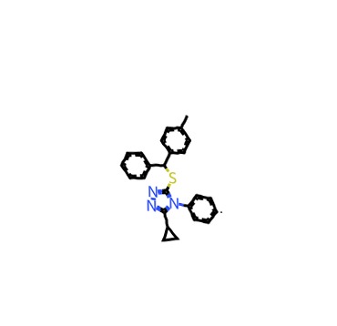 Cc1ccc(C(Sc2nnc(C3CC3)n2-c2cc[c]cc2)c2ccccc2)cc1